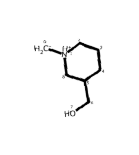 [CH2-][NH+]1CCCC(CO)C1